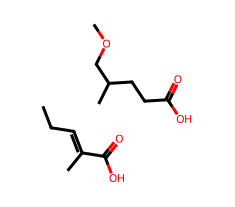 CC/C=C(\C)C(=O)O.COCC(C)CCC(=O)O